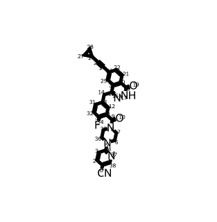 N#Cc1ccc(N2CCN(C(=O)c3cc(Cc4n[nH]c(=O)c5ccc(C#CC6CC6)cc45)ccc3F)CC2)nc1